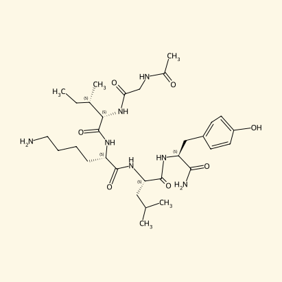 CC[C@H](C)[C@H](NC(=O)CNC(C)=O)C(=O)N[C@@H](CCCCN)C(=O)N[C@@H](CC(C)C)C(=O)N[C@@H](Cc1ccc(O)cc1)C(N)=O